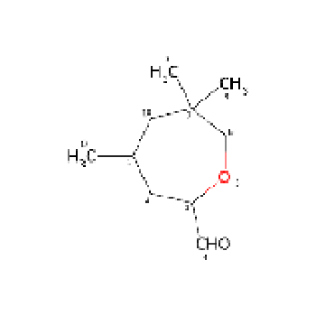 CC1CC(C=O)OCC(C)(C)C1